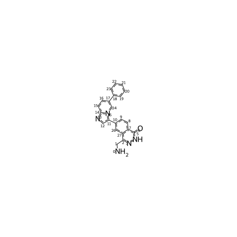 NCc1n[nH]c(=O)c2ccc(-c3cnc4ccc(-c5ccccc5)cn34)cc12